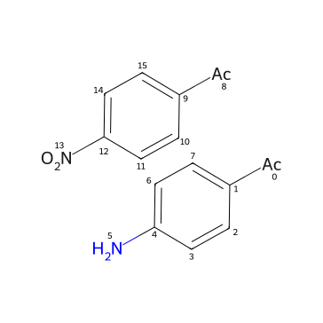 CC(=O)c1ccc(N)cc1.CC(=O)c1ccc([N+](=O)[O-])cc1